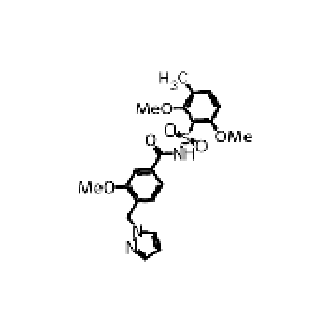 COc1cc(C(=O)NS(=O)(=O)c2c(OC)ccc(C)c2OC)ccc1Cn1cccn1